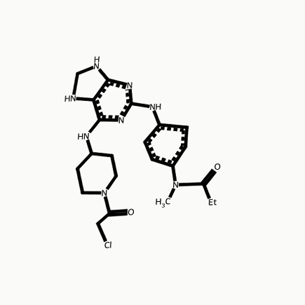 CCC(=O)N(C)c1ccc(Nc2nc3c(c(NC4CCN(C(=O)CCl)CC4)n2)NCN3)cc1